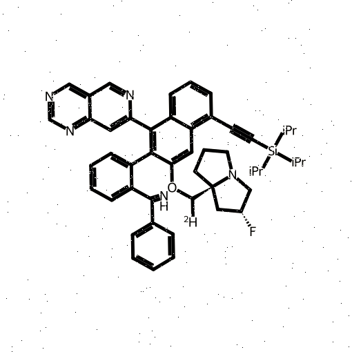 [2H]C(Oc1cc2c(C#C[Si](C(C)C)(C(C)C)C(C)C)cccc2c(-c2cc3ncncc3cn2)c1-c1ccccc1C(=N)c1ccccc1)[C@@]12CCCN1C[C@H](F)C2